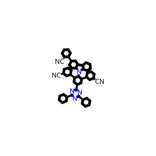 N#Cc1cccc(-c2cc(-c3nc(-c4ccccc4)nc(-c4ccccc4)n3)cc(-c3cccc(C#N)c3)c2-n2c3ccccc3c3cc(-c4ccccc4C#N)ccc32)c1